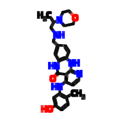 Cc1ccc(O)cc1Nc1ccnc2c1C(=O)Nc1cc(CNCC(C)N3CCOCC3)ccc1N2